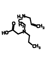 C=CCN.CCCN(CC)CC(=O)O